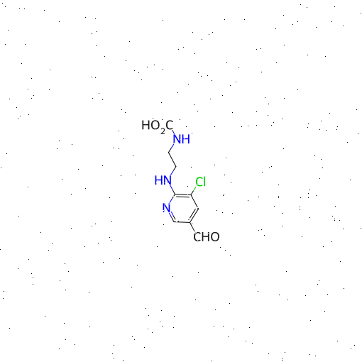 O=Cc1cnc(NCCNC(=O)O)c(Cl)c1